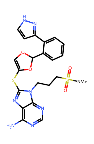 CNS(=O)(=O)CCCn1c(SC2=COC(c3ccccc3-c3cc[nH]n3)O2)nc2c(N)ncnc21